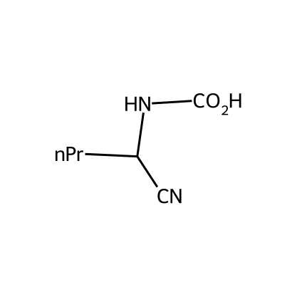 CCCC(C#N)NC(=O)O